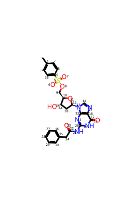 Cc1ccc(S(=O)(=O)OC[C@H]2O[C@@H](n3cnc4c(=O)[nH]c(NC(=O)Cc5ccccc5)nc43)C[C@@H]2O)cc1